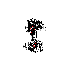 COCCOCC(C)OCC(C)OCC(C)OCC(C)OCC(C)OCC(C)OCC(C)OCC(C)OCC(C)NCCCS(=O)(=O)CCCNCCC(=O)Nc1ccc(-c2ccc(NC(=O)CNCCCS(=O)(=O)CCNC(C)COC(C)COC(C)COC(C)COC(C)COC(C)COC(C)COC(C)COC(C)COCCOC)c3c2C(=O)c2ccccc2C3=O)c2c1C(=O)c1ccccc1C2=O